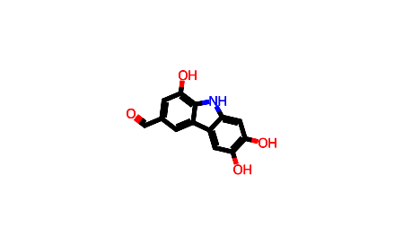 O=Cc1cc(O)c2[nH]c3cc(O)c(O)cc3c2c1